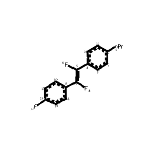 CCCc1ccc(/C(F)=C(\F)c2ccc(F)cc2)cc1